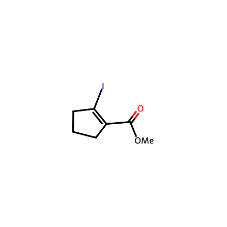 COC(=O)C1=C(I)CCC1